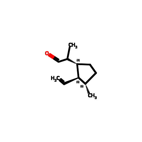 C=C[C@@H]1[C@@H](C)CC[C@H]1C(C)C=O